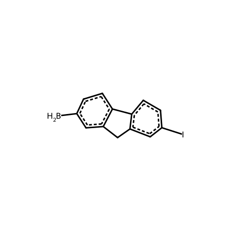 Bc1ccc2c(c1)Cc1cc(I)ccc1-2